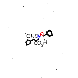 O=CN(CC(CC1CCCC1)C(=O)O)OCc1ccccc1